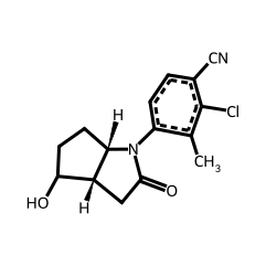 Cc1c(N2C(=O)C[C@@H]3C(O)CC[C@@H]32)ccc(C#N)c1Cl